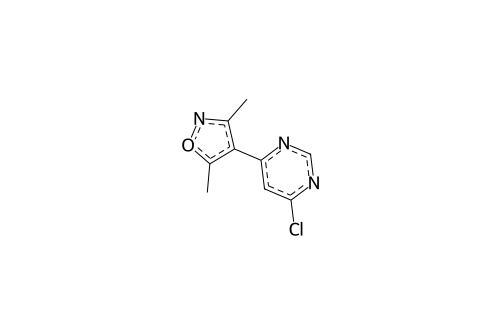 Cc1noc(C)c1-c1cc(Cl)ncn1